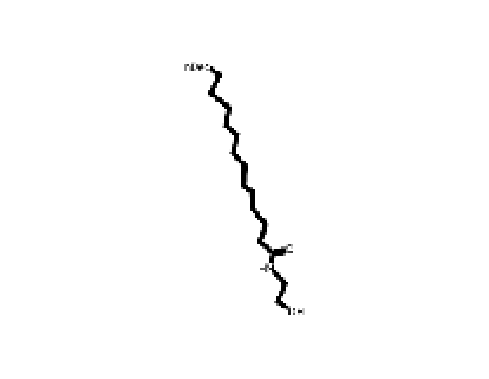 CCCCCCCCCCCCCCCCCCCCCCC(=O)NCCO